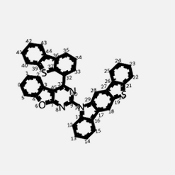 c1ccc2c(c1)oc1nc(-n3c4ccccc4c4cc5sc6ccccc6c5cc43)nc(-c3cccc4c3sc3ccccc34)c12